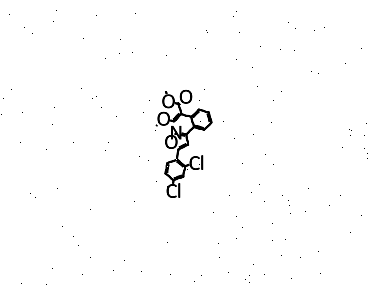 COC=C(C(=O)OC)c1ccccc1-c1cc(-c2ccc(Cl)cc2Cl)on1